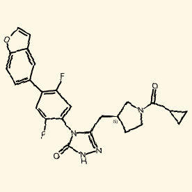 O=C(C1CC1)N1CC[C@@H](Cc2n[nH]c(=O)n2-c2cc(F)c(-c3ccc4occc4c3)cc2F)C1